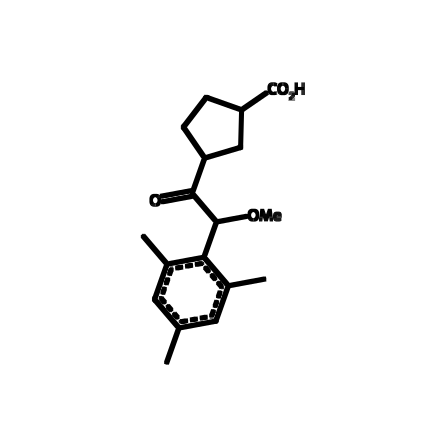 COC(C(=O)C1CCC(C(=O)O)C1)c1c(C)cc(C)cc1C